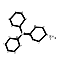 B.C1CCC(P(C2CCCCC2)C2CCCCC2)CC1